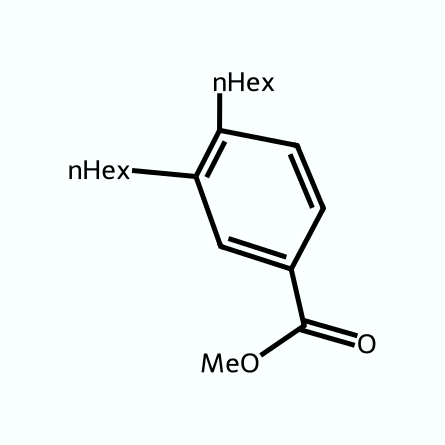 CCCCCCc1ccc(C(=O)OC)cc1CCCCCC